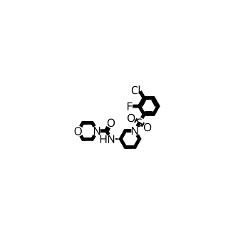 O=C(N[C@H]1CCCN(S(=O)(=O)c2cccc(Cl)c2F)C1)N1CCOCC1